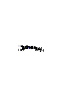 O=C(CCC[n+]1ccc(/C=C/c2ccc(N(CCO)CCO)cc2)cc1)NCCS